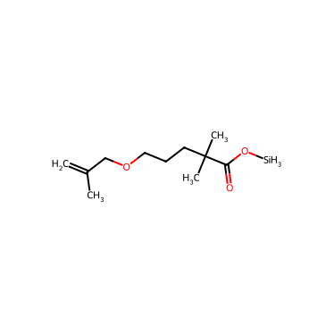 C=C(C)COCCCC(C)(C)C(=O)O[SiH3]